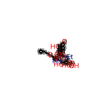 CC[N+](CC)(CC(=O)OCC(=O)[C@@]12O[C@H](C3CCCCC3)O[C@@H]1C[C@H]1[C@@H]3CCC4=CC(=O)C=C[C@]4(C)[C@H]3[C@@H](O)C[C@@]12C)Cc1cc([C@@H](O)CNCCCCCCOCCCCc2ccccc2)ccc1OP(=O)(O)O